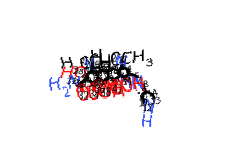 CN(C)c1cc(CNCC2CCNCC2)c(O)c2c1C[C@H]1C[C@H]3[C@H](N(C)C)C(O)=C(C(N)=O)C(=O)[C@@]3(O)C(O)=C1C2=O